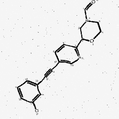 O=CN1CCOC(c2ccc(C#Cc3cccc(Cl)c3)cn2)C1